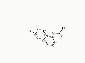 FC(F)Oc1cccc(OC(F)F)c1I